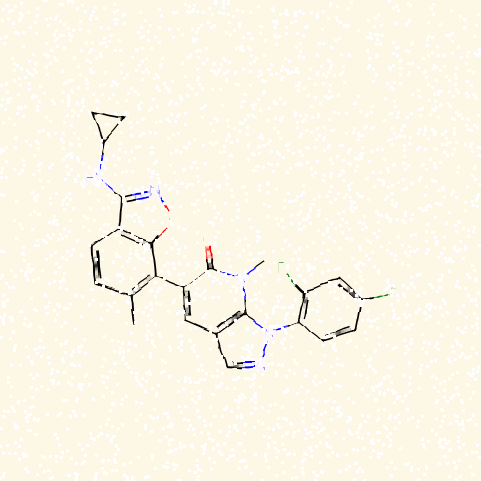 Cc1ccc2c(NC3CC3)noc2c1-c1cc2cnn(-c3ccc(F)cc3F)c2n(C)c1=O